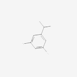 CC(C(=O)O)c1cc(N)cc(N)c1